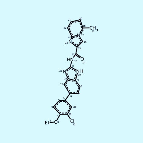 CCOc1ccc(-c2ccc3[nH]c(NC(=O)c4cn5c(C)cccc5n4)nc3c2)cc1Cl